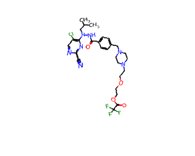 CC(C)CN(NC(=O)c1ccc(CN2CCN(CCOCCOC(=O)C(F)(F)F)CC2)cc1)c1nc(C#N)ncc1Cl